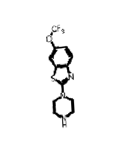 FC(F)(F)Oc1ccc2nc(N3CCNCC3)sc2c1